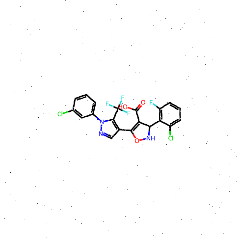 O=C(O)C1=C(c2cnn(-c3cccc(Cl)c3)c2C(F)(F)F)ONC1c1c(F)cccc1Cl